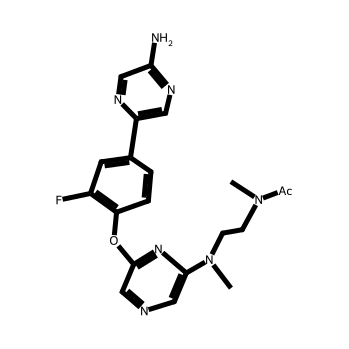 CC(=O)N(C)CCN(C)c1cncc(Oc2ccc(-c3cnc(N)cn3)cc2F)n1